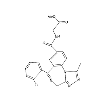 COC(=O)CNC(=O)c1ccc2c(c1)C(c1ccccc1Cl)=NCc1nnc(C)n1-2